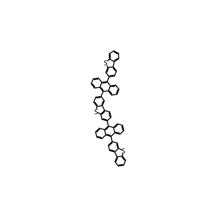 c1ccc2c(c1)sc1cc(-c3c4ccccc4c(-c4ccc5c(c4)sc4ccc(-c6c7ccccc7c(-c7ccc8c(c7)sc7ccccc78)c7ccccc67)cc45)c4ccccc34)ccc12